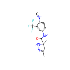 [C-]#[N+]c1ccc(NC(=O)C2(C)CC(C)=NN2)cc1C(F)(F)F